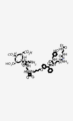 CCC(=O)NCCNC(=O)/N=C(/N)NCCC[C@@H](NC(=O)[C@@H](c1ccccc1)c1cccc(OCCCCNc2c(NCCNC(=O)[C@@H](CCN)NC(C=O)N3CCN(CC(=O)O)CCN(CC(=O)O)CCN(CC(=O)O)CC3)c(=O)c2=O)c1)C(=O)NCc1ccc(O)cc1